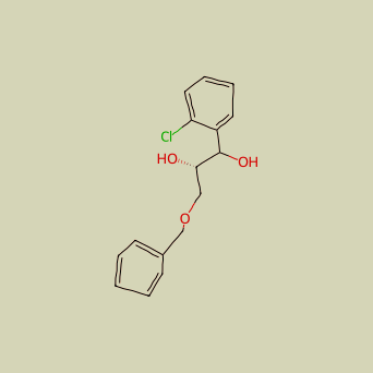 OC(c1ccccc1Cl)[C@@H](O)COCc1ccccc1